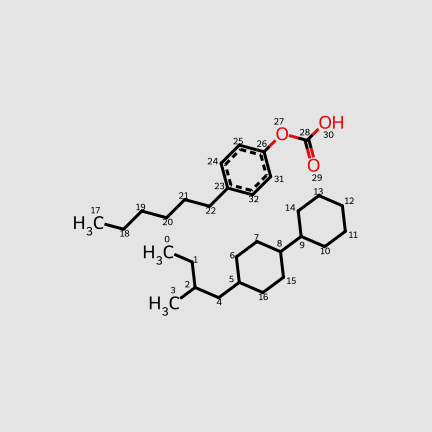 CCC(C)CC1CCC(C2CCCCC2)CC1.CCCCCCc1ccc(OC(=O)O)cc1